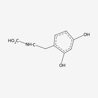 O=C(O)NCCc1ccc(O)cc1O